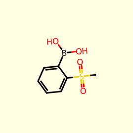 CS(=O)(=O)c1ccccc1B(O)O